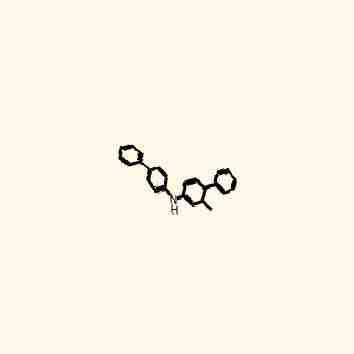 CC1C=C(Nc2ccc(-c3ccccc3)cc2)C=CC1c1ccccc1